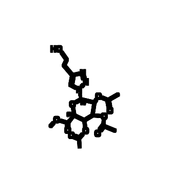 COC(=O)[C@H]1O[C@H](n2cc(CCO)nn2)C(OC(C)=O)C(OC(C)=O)C1OC(C)=O